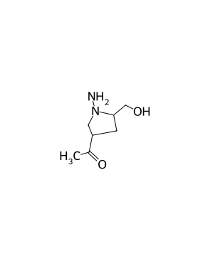 CC(=O)C1CC(CO)N(N)C1